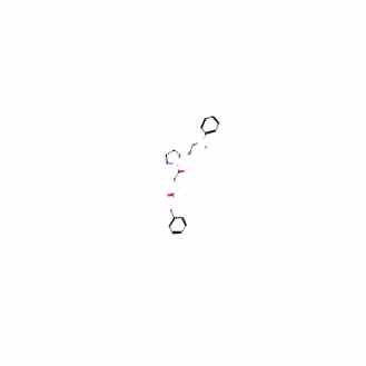 O=C(NCC(=O)N1CCC[C@H]1C(=O)C[S+]([O-])c1ccccc1)OCc1ccccc1